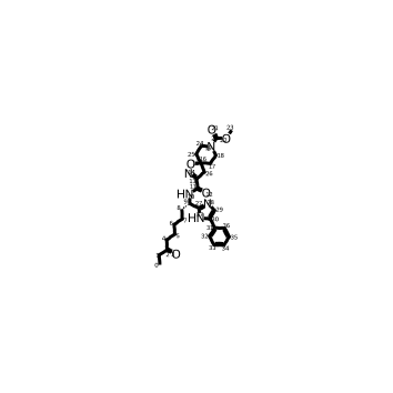 CCC(=O)CCCCC[C@H](NC(=O)C1=NOC2(CCN(C(=O)OC)CC2)C1)c1ncc(-c2ccccc2)[nH]1